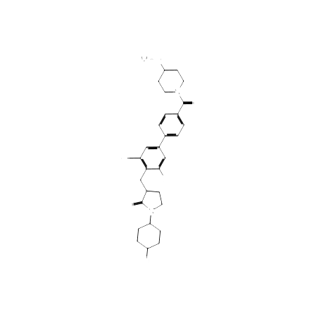 COC1CCN(C(=O)c2ccc(-c3cc(Cl)c(CC4CCN(C5CCC(O)CC5)C4=O)c(Cl)c3)cc2)CC1